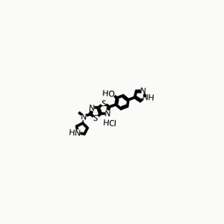 CN(c1nc2sc(-c3ccc(-c4cn[nH]c4)cc3O)nc2s1)[C@@H]1CCNC1.Cl